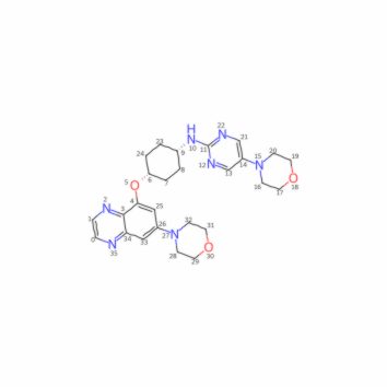 c1cnc2c(O[C@H]3CC[C@@H](Nc4ncc(N5CCOCC5)cn4)CC3)cc(N3CCOCC3)cc2n1